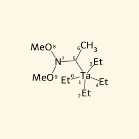 C[CH2][Ta]([CH2]C)([CH2]C)([CH2]C)[CH](C)N(OC)OC